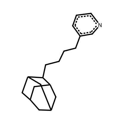 c1cncc(CCCCC2C3CC4CC(C3)CC2C4)c1